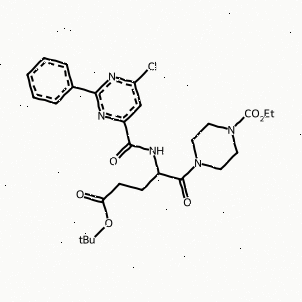 CCOC(=O)N1CCN(C(=O)C(CCC(=O)OC(C)(C)C)NC(=O)c2cc(Cl)nc(-c3ccccc3)n2)CC1